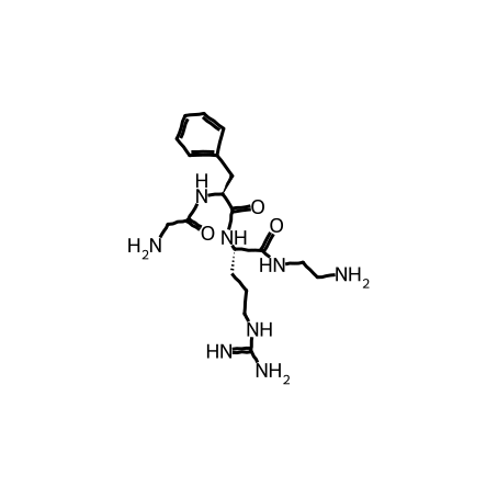 N=C(N)NCCC[C@H](NC(=O)[C@H](Cc1ccccc1)NC(=O)CN)C(=O)NCCN